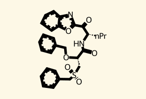 CCC[C@H](NC(=O)[C@H](CS(=O)(=O)Cc1ccccc1)OCc1ccccc1)C(=O)c1nc2ccccc2o1